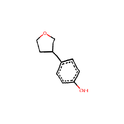 Oc1ccc(C2CCOC2)cc1